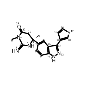 CN1C(=N)N[C@](C)(c2ccc3[nH]nc(-c4ccsc4)c3c2)CC1=O